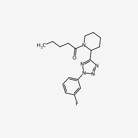 CCCCC(=O)N1CCCCC1c1nnn(-c2cccc(F)c2)n1